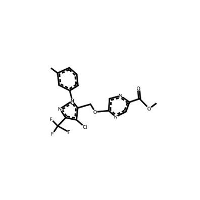 COC(=O)c1cnc(OCc2c(Cl)c(C(F)(F)F)nn2-c2cccc(C)c2)cn1